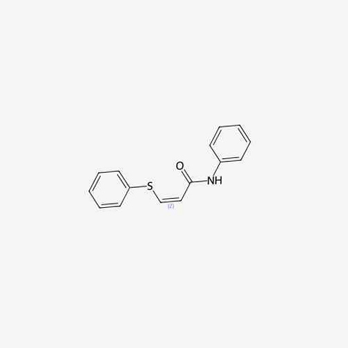 O=C(/C=C\Sc1ccccc1)Nc1ccccc1